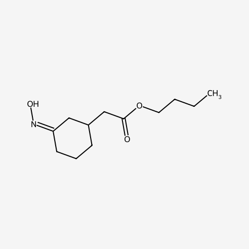 CCCCOC(=O)CC1CCCC(=NO)C1